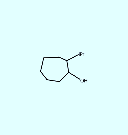 CC(C)C1CCCCCC1O